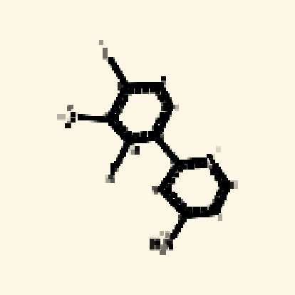 Cc1c(F)ccc(-c2cc(N)ccn2)c1F